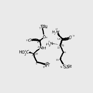 CC(C)C[C@H](NC(=O)OC(C)(C)C)C(=O)O.CSCC[C@H](N)C(N)=O